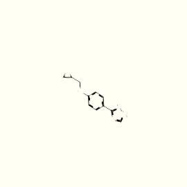 c1nnc(-c2ccc(OCC3CO3)cc2)o1